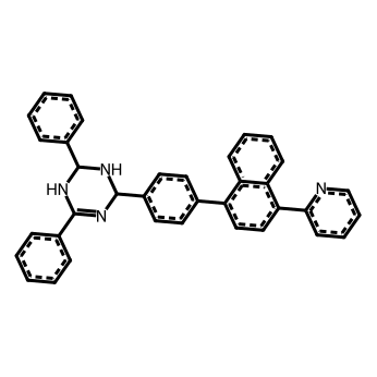 c1ccc(C2=NC(c3ccc(-c4ccc(-c5ccccn5)c5ccccc45)cc3)NC(c3ccccc3)N2)cc1